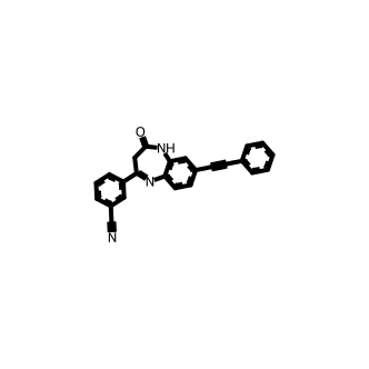 N#Cc1cccc(C2=Nc3ccc(C#Cc4ccccc4)cc3NC(=O)C2)c1